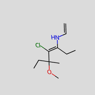 C=CN/C(CC)=C(\Cl)C(C)(CC)OC